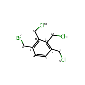 ClCc1ccc(CBr)c(CCl)c1CCl